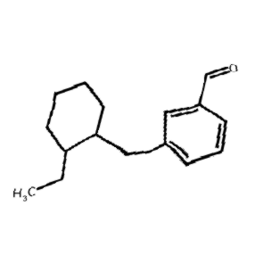 CCC1CCCCC1Cc1cccc(C=O)c1